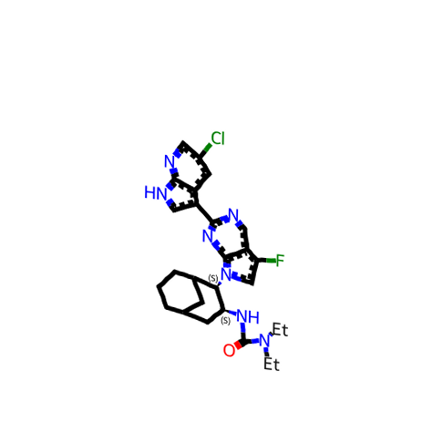 CCN(CC)C(=O)N[C@H]1CC2CCCC(C2)[C@@H]1n1cc(F)c2cnc(-c3c[nH]c4ncc(Cl)cc34)nc21